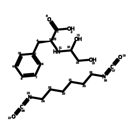 O=C(O)[C@H](Cc1ccccc1)NC(O)CO.O=C=NCCCCCCN=C=O